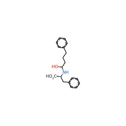 O=C(O)[C@H](Cc1ccccc1)NC(O)CCCc1ccccc1